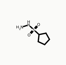 NNS(=O)(=O)C1CCCC1